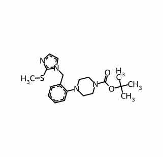 CSc1nccn1Cc1ccccc1N1CCN(C(=O)OC(C)(C)C)CC1